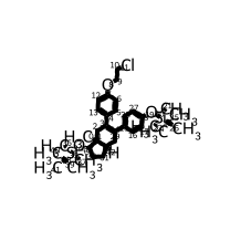 CC12CC(c3ccc(OCCCl)cc3)=C(c3ccc(O[Si](C)(C)C(C)(C)C)cc3)C[C@@H]1CC[C@@H]2O[Si](C)(C)C(C)(C)C